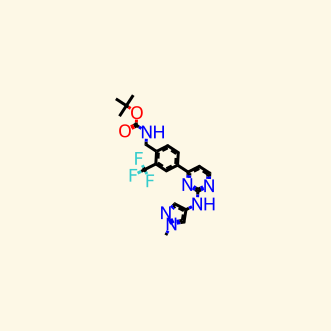 Cn1cc(Nc2nccc(-c3ccc(CNC(=O)OC(C)(C)C)c(C(F)(F)F)c3)n2)cn1